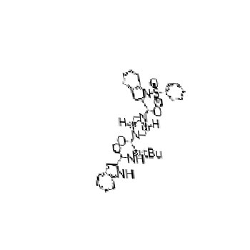 CC(C)(C)[C@H](NC(=O)c1cc2ccccc2[nH]1)C(=O)N1C[C@@H]2C[C@H]1CN2C(=O)c1cc2ccccc2n1S(=O)(=O)c1ccccc1